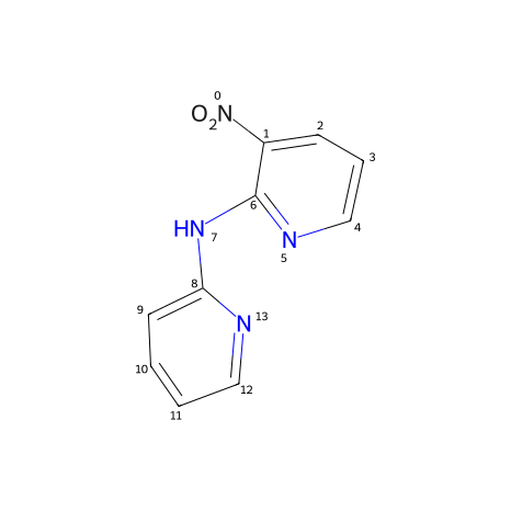 O=[N+]([O-])c1cccnc1Nc1ccccn1